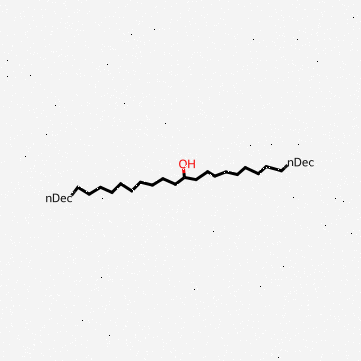 CCCCCCCCCCCCCCCCCCCCC(O)CCCCCCCCCCCCCCCCCCC